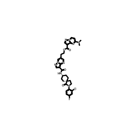 CN(C)c1ccn2ncc(C(=O)OCCc3cnc4c(C(=O)N[C@H]5CC[C@@]6(CCN(c7ccc(F)cc7Cl)C6=O)CC5)cnn4c3)c2n1